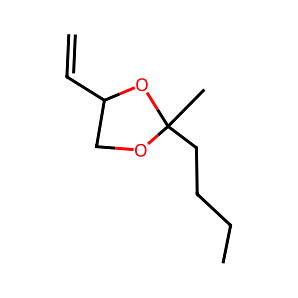 C=CC1COC(C)(CCCC)O1